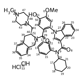 COc1cc(-n2cc(C(=O)N(c3ccccc3)C3CCCCC3)c3ccccc32)c(C(=O)N2Cc3ccccc3C[C@H]2CN2CCN(C)CC2)cc1O.Cl.Cl